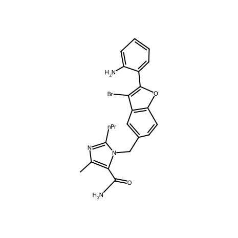 CCCc1nc(C)c(C(N)=O)n1Cc1ccc2oc(-c3ccccc3N)c(Br)c2c1